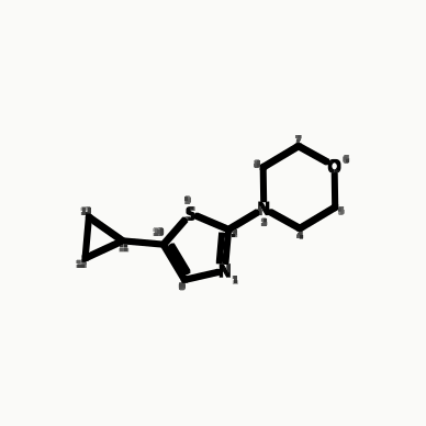 c1nc(N2CCOCC2)sc1C1CC1